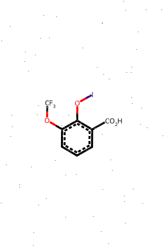 O=C(O)c1cccc(OC(F)(F)F)c1OI